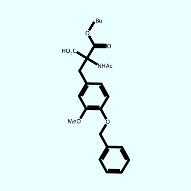 CCC(C)OC(=O)C(Cc1ccc(OCc2ccccc2)c(OC)c1)(NC(C)=O)C(=O)O